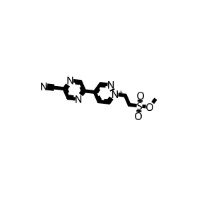 COS(=O)(=O)CC[n+]1ccc(-c2cnc(C#N)cn2)cn1